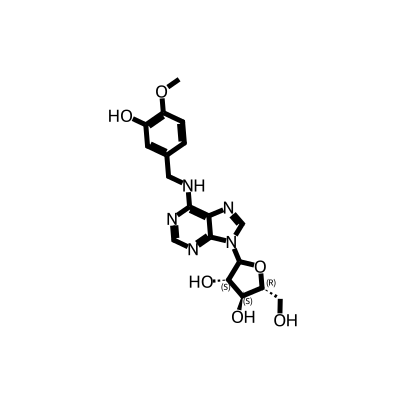 COc1ccc(CNc2ncnc3c2ncn3C2O[C@H](CO)[C@@H](O)[C@@H]2O)cc1O